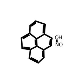 O=NO.c1cc2ccc3cccc4ccc(c1)c2c34